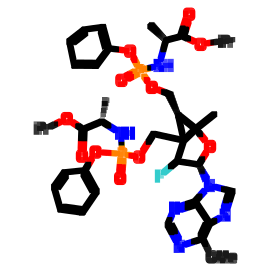 COc1ncnc2c1ncn2[C@@H]1OC2(C)[C@H](COP(=O)(N[C@@H](C)C(=O)OC(C)C)Oc3ccccc3)C2(COP(=O)(N[C@@H](C)C(=O)OC(C)C)Oc2ccccc2)C1F